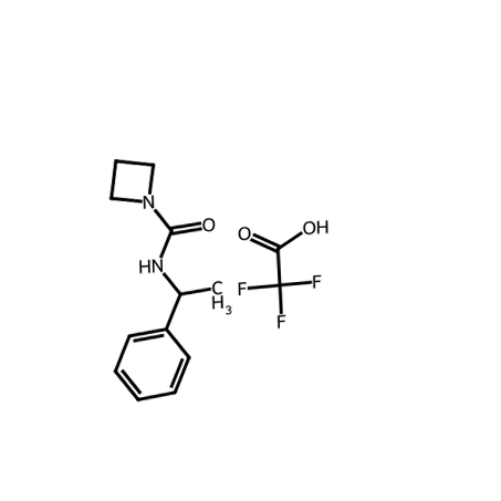 CC(NC(=O)N1CCC1)c1ccccc1.O=C(O)C(F)(F)F